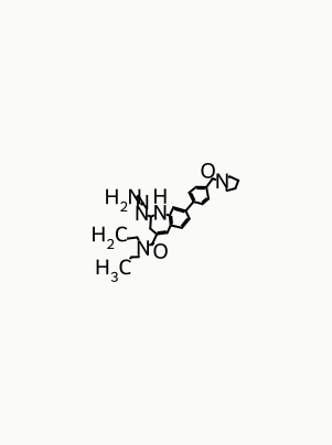 C=CCN(CCC)C(=O)C1=Cc2ccc(-c3ccc(C(=O)N4CCCC4)cc3)cc2NC(N=NN)C1